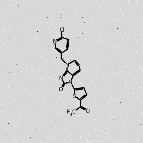 O=C(c1ccc(-n2c3cccn(Cc4ccc(Cl)nc4)c-3nc2=O)s1)C(F)(F)F